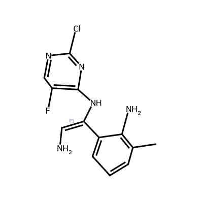 Cc1cccc(/C(=C\N)Nc2nc(Cl)ncc2F)c1N